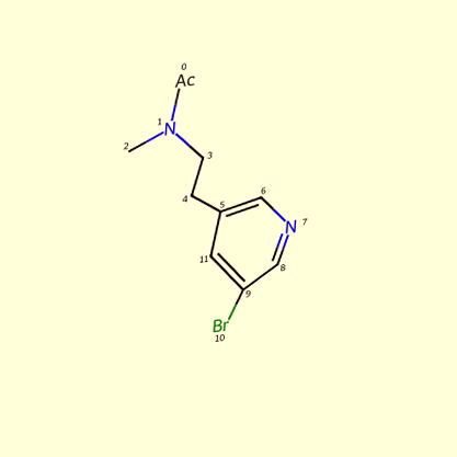 CC(=O)N(C)CCc1cncc(Br)c1